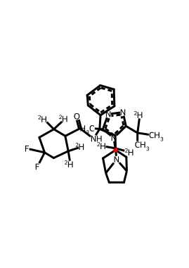 [2H]C(C)(C)c1nnc(C)n1C1CC2CCC(C1)N2C([2H])([2H])CC(NC(=O)C1C([2H])([2H])CC(F)(F)CC1([2H])[2H])c1ccccc1